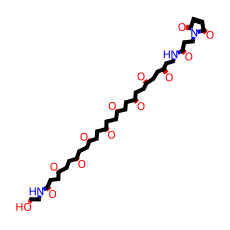 O=C(CCNC(=O)CCN1C(=O)C=CC1=O)CCC(=O)CCC(=O)CCC(=O)CCC(=O)CCC(=O)CCC(=O)CCC(=O)CCC(=O)NCCO